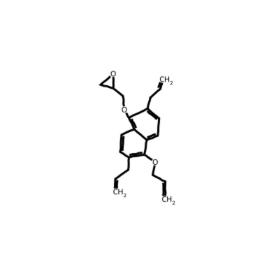 C=CCOc1c(CC=C)ccc2c(OCC3CO3)c(CC=C)ccc12